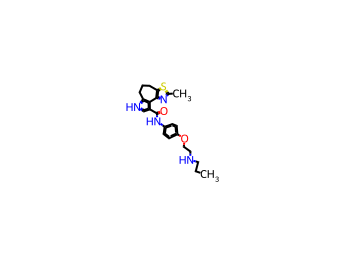 CCCNCCOc1ccc(NC(=O)c2c[nH]c3c2-c2nc(C)sc2CCC3)cc1